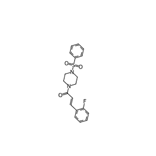 O=C(C=Cc1ccccc1F)N1CCN(S(=O)(=O)c2ccccc2)CC1